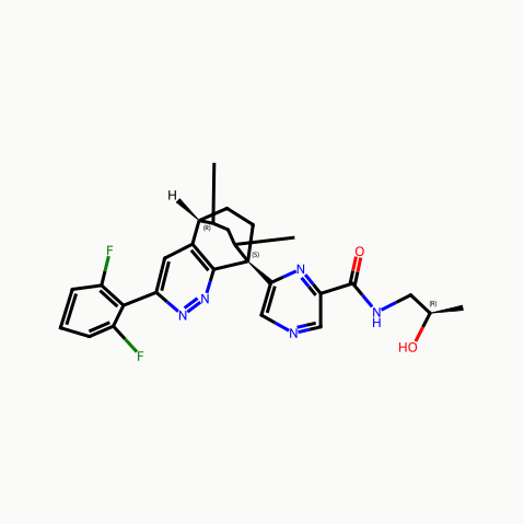 CC1CC(C)[C@]2(c3cncc(C(=O)NC[C@@H](C)O)n3)CC[C@H]1c1cc(-c3c(F)cccc3F)nnc12